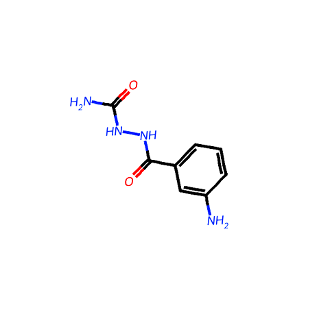 NC(=O)NNC(=O)c1cccc(N)c1